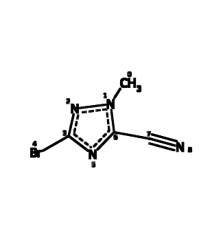 Cn1nc(Br)nc1C#N